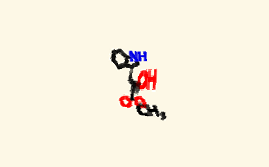 COC(=O)[C@H](O)Cc1c[nH]c2ccccc12